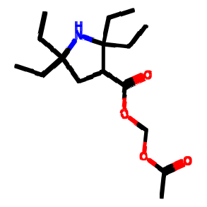 CCC1(CC)CC(C(=O)OCOC(C)=O)C(CC)(CC)N1